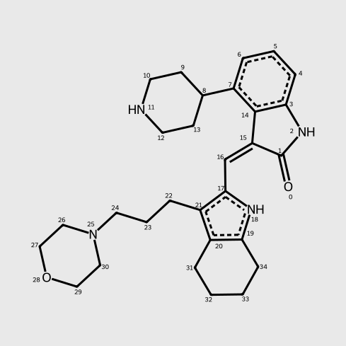 O=C1Nc2cccc(C3CCNCC3)c2C1=Cc1[nH]c2c(c1CCCN1CCOCC1)CCCC2